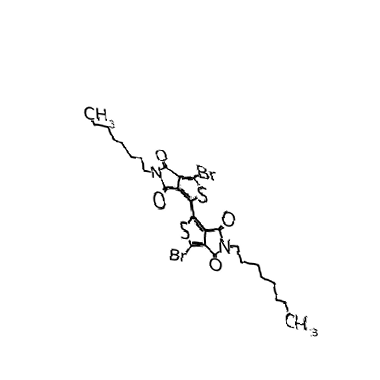 CCCCCCCCN1C(=O)c2c(Br)sc(-c3sc(Br)c4c3C(=O)N(CCCCCCCC)C4=O)c2C1=O